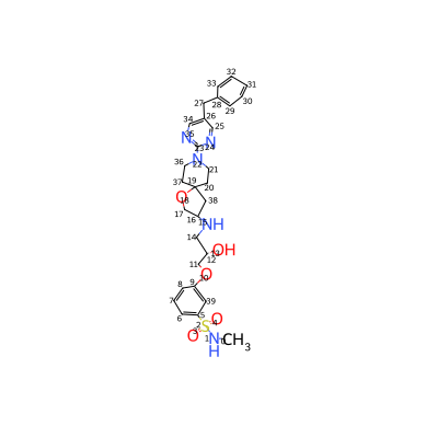 CNS(=O)(=O)c1cccc(OC[C@@H](O)CNC2COC3(CCN(c4ncc(Cc5ccccc5)cn4)CC3)C2)c1